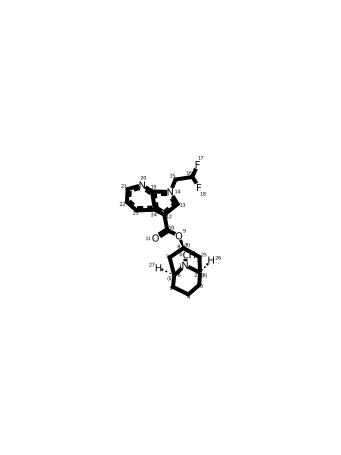 CN1[C@@H]2CCC[C@H]1C[C@@H](OC(=O)c1cn(CC(F)F)c3ncccc13)C2